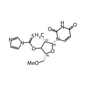 COC[C@H]1O[C@@H](n2ccc(=O)[nH]c2=O)[C@@H](C)C1OC(=S)n1ccnc1